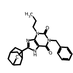 CCCn1c(=O)n(Cc2ccccc2)c(=O)c2[nH]c(C34CC5CC(CC3C5)C4)nc21